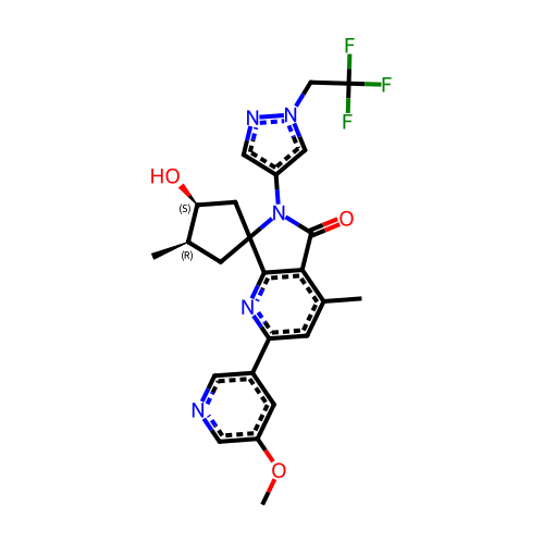 COc1cncc(-c2cc(C)c3c(n2)C2(C[C@@H](C)[C@@H](O)C2)N(c2cnn(CC(F)(F)F)c2)C3=O)c1